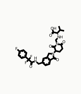 CC(C)[C@H](NCN1C(=O)CCC(N2Cc3cc(CNC(=O)C(F)(F)c4ccc(F)cc4)ccc3C2=O)C1=O)C(=O)O